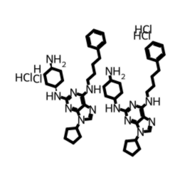 Cl.Cl.Cl.Cl.NC1CCC(Nc2nc(NCCCCc3ccccc3)c3ncn(C4CCCC4)c3n2)CC1.N[C@H]1CC[C@H](Nc2nc(NCCCCc3ccccc3)c3ncn(C4CCCC4)c3n2)CC1